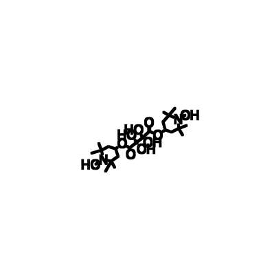 CC1(C)CC(OC(=O)C(O)(O)C(O)(O)C(=O)OC2CC(C)(C)N(O)C(C)(C)C2)CC(C)(C)N1O